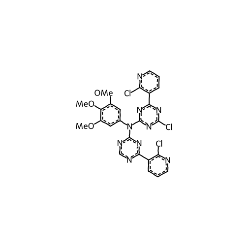 COc1cc(N(c2ncnc(-c3cccnc3Cl)n2)c2nc(Cl)nc(-c3cccnc3Cl)n2)cc(OC)c1OC